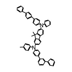 Cc1ccc(N(c2ccc(-c3cccc(-c4ccccc4)c3)cc2)c2ccc3c(c2)C(C)(C)c2cc(N(c4ccccc4)c4ccc(-c5ccc(-c6ccccc6)cc5)cc4)ccc2-3)cc1